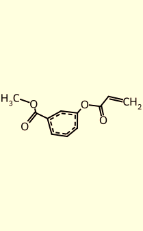 C=CC(=O)Oc1cccc(C(=O)OC)c1